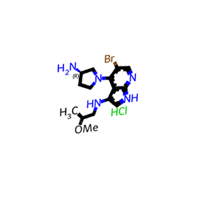 COC(C)CNc1c[nH]c2ncc(Br)c(N3CC[C@@H](N)C3)c12.Cl